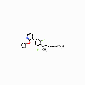 CC(CCCCC(=O)O)c1c(F)cc(-c2cccnc2OC2CCCC2)cc1F